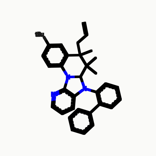 C=CCC1(C)c2cc(C(C)(C)C)ccc2N2c3ncccc3N(c3ccccc3-c3ccccc3)C2C1(C)C